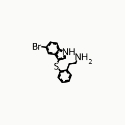 NCCc1ccccc1Sc1c[nH]c2ccc(Br)cc12